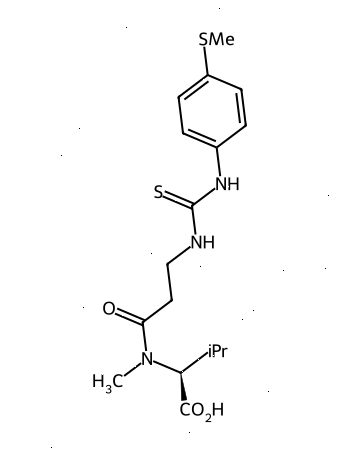 CSc1ccc(NC(=S)NCCC(=O)N(C)[C@H](C(=O)O)C(C)C)cc1